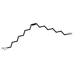 CCCCCCCC/C=C\CCC[CH]CCCS